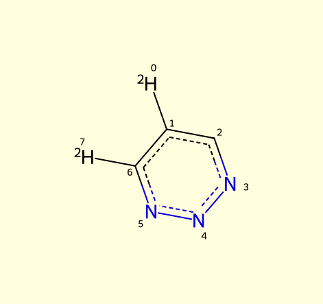 [2H]c1cnnnc1[2H]